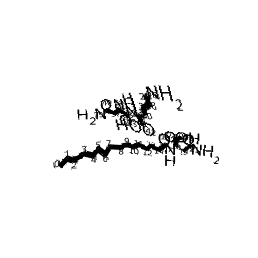 CCCCCCCCCCCCCCCC(=O)N[C@@H](CC(N)=O)C(=O)O.NCCCC[C@H](NC(=O)[C@@H](N)CC(N)=O)C(=O)O